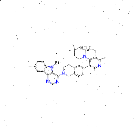 CCn1c2ccc(C)cc2c2ncnc(N3CCc4cc(-c5c(C)nc(C)c(CC(=O)O)c5N5CCC(C)(C)CC5)ccc4C3)c21